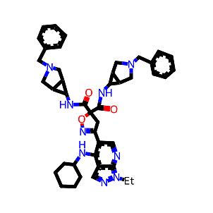 CCn1ncc2c(NC3CCCCC3)c(C3=NOC(C(=O)NC4C5CN(Cc6ccccc6)CC54)(C(=O)NC4C5CN(Cc6ccccc6)CC54)C3)cnc21